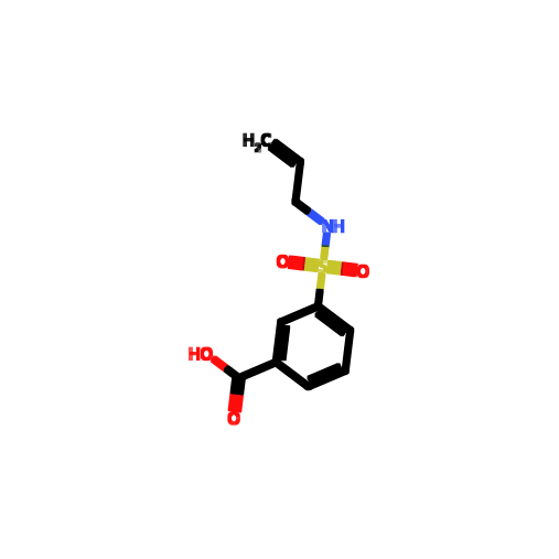 C=CCNS(=O)(=O)c1cccc(C(=O)O)c1